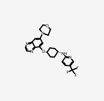 FC(F)(F)c1ccc(N[C@H]2CC[C@@H](Oc3cc(N4CCOCC4)cc4nccnc34)CC2)nc1